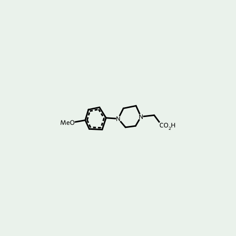 COc1ccc(N2CCN(CC(=O)O)CC2)cc1